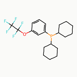 FC(F)(F)C(F)(F)Oc1cccc(P(C2CCCCC2)C2CCCCC2)c1